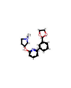 CCN1CCC(Oc2cccc(-c3cccc(C4OCCO4)c3)n2)C1